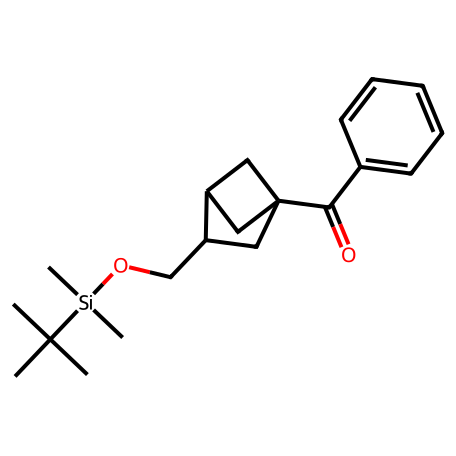 CC(C)(C)[Si](C)(C)OCC1CC2(C(=O)c3ccccc3)CC1C2